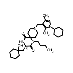 CCCCN1C(=O)[C@@H](CC2(O)CCCCC2)NC(=O)C12CCN(Cc1c(C)nn(C3CCCCC3)c1C)CC2